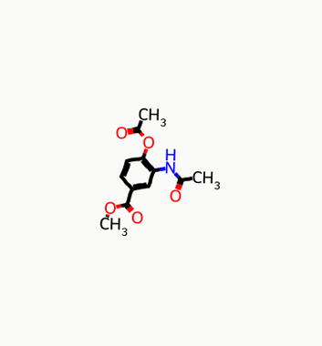 COC(=O)c1ccc(OC(C)=O)c(NC(C)=O)c1